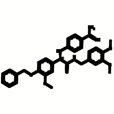 COc1ccc(CNC(=O)[C@H](Nc2ccc(C(=N)N)cc2)c2ccc(OCc3ccccc3)c(OC)c2)cc1OC